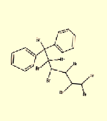 BrC(Br)C(Br)C(Br)C(Br)C(Br)(Br)C(Br)(c1ccccc1)c1ccccc1